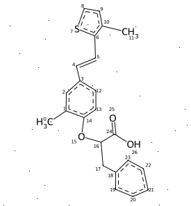 Cc1cc(C=Cc2sccc2C)ccc1OC(Cc1ccccc1)C(=O)O